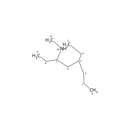 CCCC(CC)CC(CC)NC